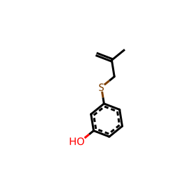 C=C(C)CSc1cccc(O)c1